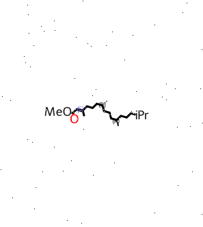 COC(=O)/C=C(\C)CCC[C@H](C)CCC[C@H](C)CCCC(C)C